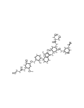 COc1cc(OCc2cccc(-c3cccc4c3c(C)nn4Cc3cc(OCc4cncc(C#N)c4)c(CNC(C=O)CO)cc3Cl)c2C)c(Cl)cc1CNCCO